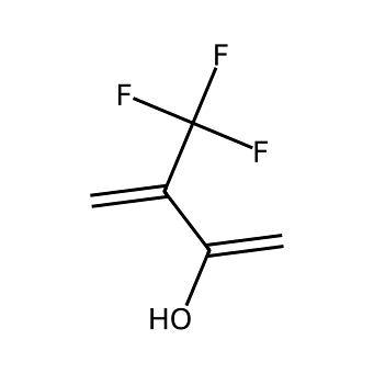 C=C(O)C(=C)C(F)(F)F